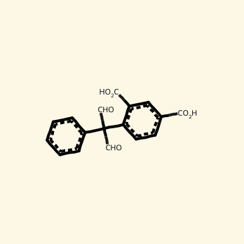 O=CC(C=O)(c1ccccc1)c1ccc(C(=O)O)cc1C(=O)O